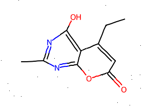 CCc1cc(=O)oc2nc(C)nc(O)c12